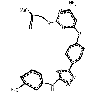 CNC(=O)CSc1nc(N)cc(Oc2ccc(-c3nnc(Nc4cccc(C(F)(F)F)c4)[nH]3)cc2)n1